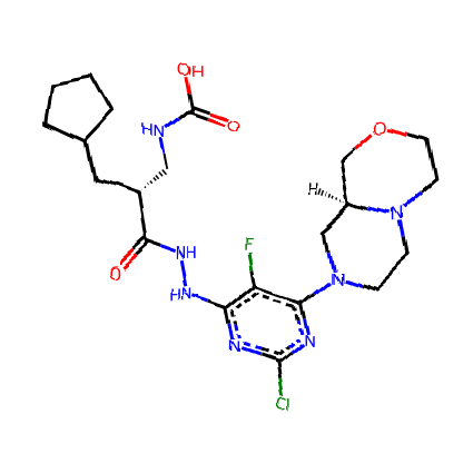 O=C(O)NC[C@@H](CC1CCCC1)C(=O)NNc1nc(Cl)nc(N2CCN3CCOC[C@@H]3C2)c1F